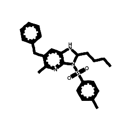 CCCCC1Nc2cc(Cc3ccccc3)c(C)nc2N1S(=O)(=O)c1ccc(C)cc1